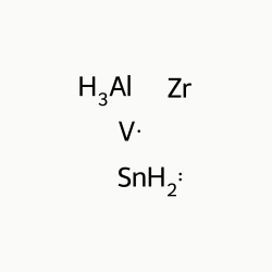 [AlH3].[SnH2].[V].[Zr]